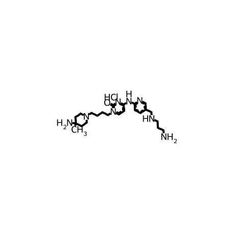 CC1(N)CCN(CCCCn2ccc(Nc3ccc(CNCCCN)cn3)nc2=O)CC1.Cl